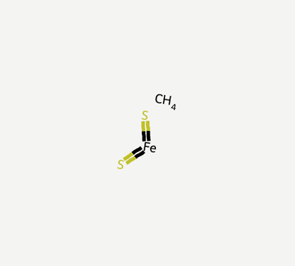 C.[S]=[Fe]=[S]